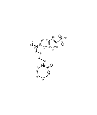 CCN(CCCCN1CCCCCOC1=O)C(C)Cc1ccc(S(C)(=O)=O)cc1